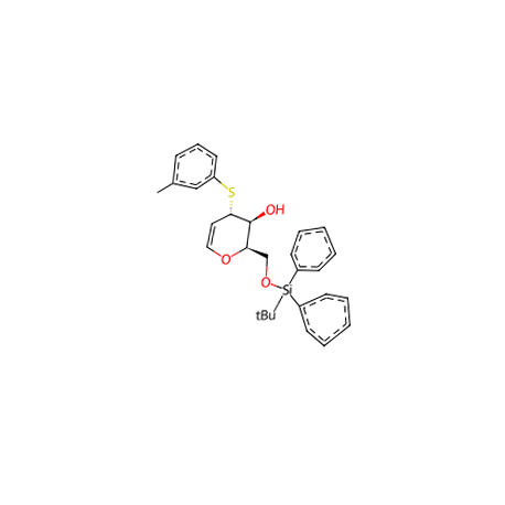 Cc1cccc(S[C@H]2C=CO[C@H](CO[Si](c3ccccc3)(c3ccccc3)C(C)(C)C)[C@@H]2O)c1